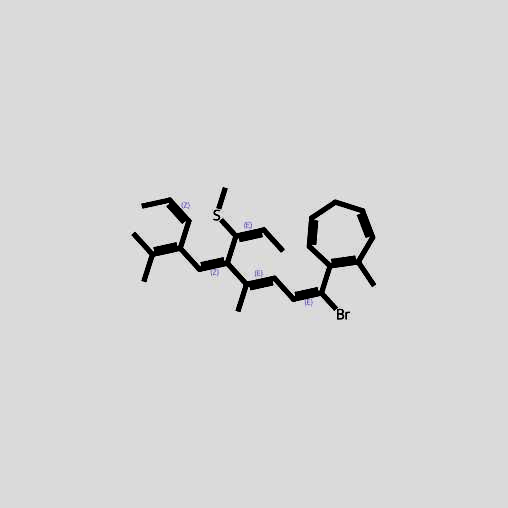 C/C=C\C(/C=C(C(/C)=C/C=C(/Br)C1=C(C)C=CCC=C1)\C(=C/C)SC)=C(C)C